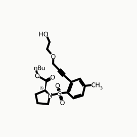 CCCCOC(=O)[C@@H]1CCCN1S(=O)(=O)c1ccc(C)cc1C#CCOCCO